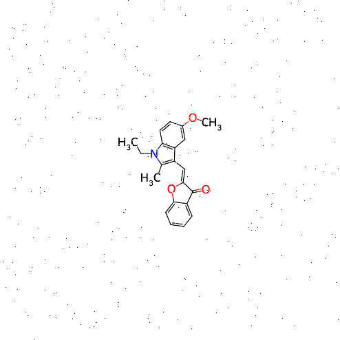 CCn1c(C)c(C=C2Oc3ccccc3C2=O)c2cc(OC)ccc21